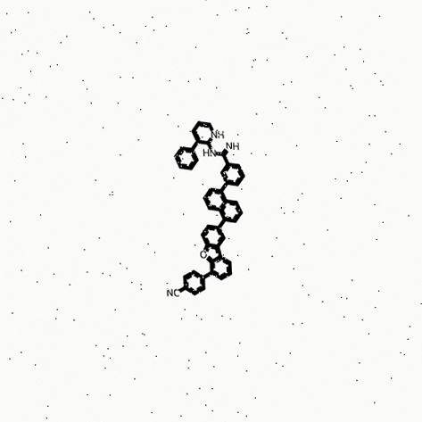 N#Cc1ccc(-c2cccc3c2oc2ccc(-c4cccc5c(-c6cccc(C(=N)NC7NC=CC=C7c7ccccc7)c6)cccc45)cc23)cc1